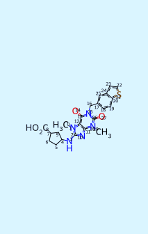 Cn1c(NC2CCC(C(=O)O)C2)nc2c1c(=O)n(Cc1ccc3sccc3c1)c(=O)n2C